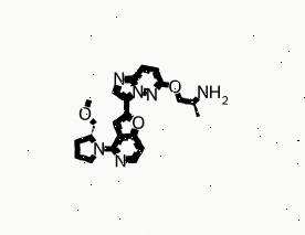 COC[C@H]1CCCN1c1nccc2oc(-c3cnc4ccc(OC[C@H](C)N)nn34)cc12